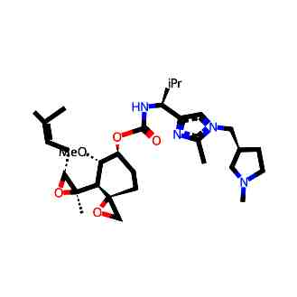 CO[C@@H]1[C@H](OC(=O)N[C@H](c2cn(C[C@H]3CCN(C)C3)c(C)n2)C(C)C)CC[C@]2(CO2)[C@H]1[C@@]1(C)O[C@@H]1CC=C(C)C